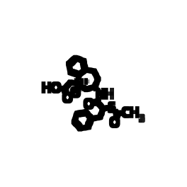 CC(=O)SC(Cc1ccccc1)C(=O)NC1CCc2ccccc2[N+]([O-])(CC(=O)O)C1